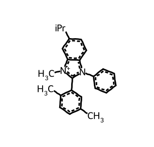 Cc1ccc(C)c(-c2n(-c3ccccc3)c3ccc(C(C)C)cc3[n+]2C)c1